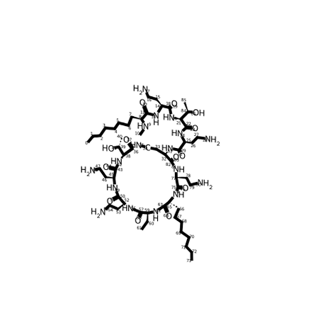 CCCCCCCC[C@H](NC)C(=O)N[C@@H](CCN)C(=O)N[C@H](C(=O)N[C@@H](CCN)C(=O)N[C@H]1CCNC(=O)[C@H]([C@@H](C)O)NC(=O)[C@H](CCN)NC(=O)[C@H](CCN)NC(=O)[C@H](CC)NC(=O)[C@@H](CCCCCCCC)NC(=O)[C@H](CCN)NC1=O)[C@@H](C)O